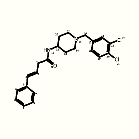 O=C(CC=Cc1ccccc1)NC1CCN(Cc2ccc(Cl)c(Cl)c2)CC1